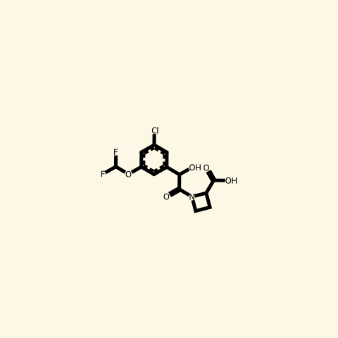 O=C(O)C1CCN1C(=O)C(O)c1cc(Cl)cc(OC(F)F)c1